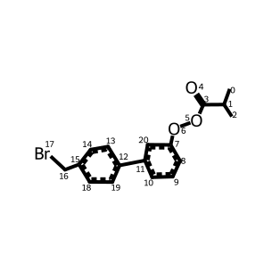 CC(C)C(=O)OOc1cccc(-c2ccc(CBr)cc2)c1